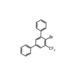 FC(F)(F)c1cc(-c2ccccc2)cc(-c2ccccc2)c1Br